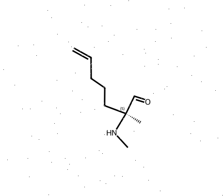 C=CCCC[C@@](C)(C=O)NC